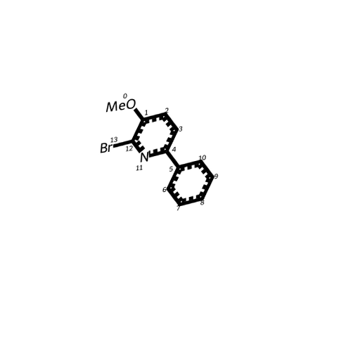 COc1ccc(-c2ccccc2)nc1Br